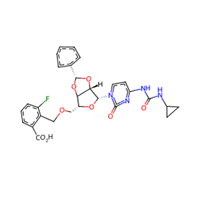 O=C(Nc1ccn([C@@H]2O[C@H](COCc3c(F)cccc3C(=O)O)C3O[C@H](c4ccccc4)O[C@@H]32)c(=O)n1)NC1CC1